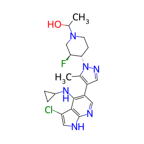 Cc1c(-c2cnc3[nH]cc(Cl)c3c2NC2CC2)cnn1[C@H]1CCN(C(C)O)C[C@@H]1F